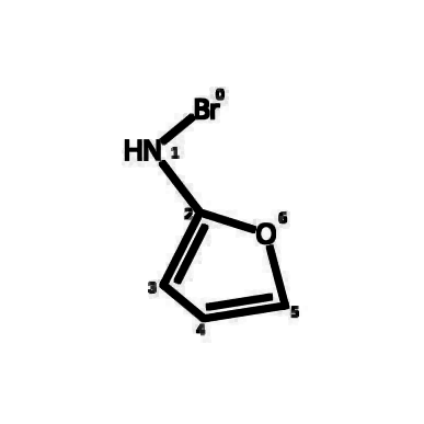 BrNc1ccco1